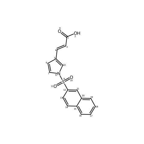 O=C(O)C=Cc1ccn(S(=O)(=O)c2ccc3ccccc3c2)c1